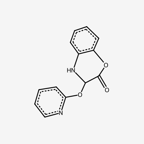 O=C1Oc2ccccc2NC1Oc1ccccn1